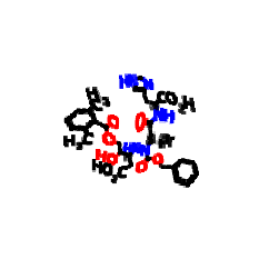 Cc1cccc(C)c1C(=O)OCC(O)[C@H](CC(=O)O)NN(C(=O)OCc1ccccc1)[C@H](C(=O)N[C@@H](Cc1c[nH]cn1)C(=O)O)C(C)C